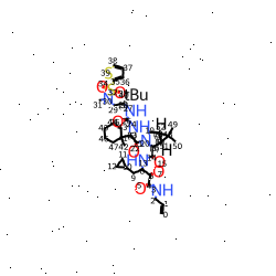 C=CCNC(=O)C(=O)C(CC1CC1)NC(=O)[C@@H]1[C@@H]2[C@H](CN1C(=O)[C@@H](NC(=O)N[C@H](CN(C)S(=O)(=O)c1cccs1)C(C)(C)C)C1(C)CCCCC1)C2(C)C